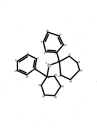 c1ccc(C2(OC3(c4ccccc4)CCCCC3)CCCCC2)cc1